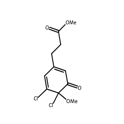 COC(=O)CCC1=CC(=O)C(Cl)(OC)C(Cl)=C1